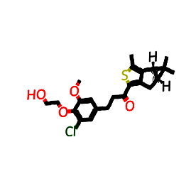 COc1cc(CCC(=O)c2sc(C)c3c2C[C@@H]2[C@H]3C2(C)C)cc(Cl)c1OCCO